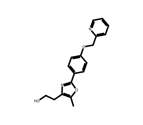 Cc1oc(-c2ccc(OCc3ccccn3)cc2)nc1CCO